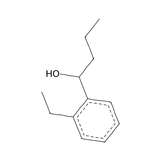 CCCC(O)c1ccccc1CC